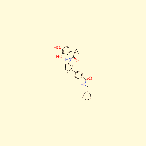 Cc1ccc(NC(=O)C2(c3ccc(O)c(O)c3)CC2)cc1-c1ccc(C(=O)NCC2CCCCC2)cc1